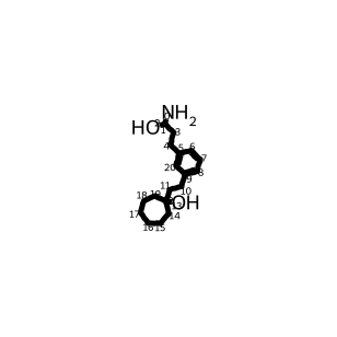 NC(O)CCc1cccc(CCC2(O)CCCCCC2)c1